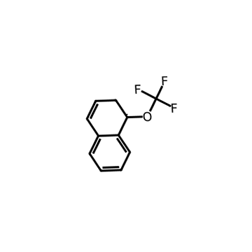 FC(F)(F)O[C]1CC=Cc2ccccc21